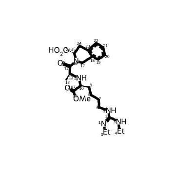 CCN=C(NCC)NCCCC[C@H](N[C@@H](C)C(=O)N1Cc2ccccc2C[C@H]1C(=O)O)C(=O)OC